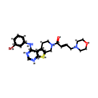 O=C(C=CCN1CCOCC1)N1CCc2c(sc3ncnc(Nc4cccc(Br)c4)c23)C1